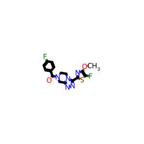 COc1nc(-c2nnc3n2CCN(C(=O)c2ccc(F)cc2)C3)sc1F